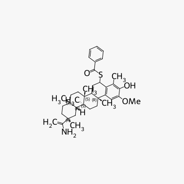 C=C(N)[C@]1(C)CC[C@]2(C)CC[C@]3(C)C4=CC(SC(=O)c5ccccc5)c5c(cc(OC)c(O)c5C)[C@]4(C)CC[C@@]3(C)[C@@H]2C1